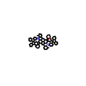 Cc1cccc(C)c1N(c1cccc(C2(c3ccccc3)c3ccccc3-c3ccccc32)c1)c1cc(C2CCCCC2)c2ccc3c(N(c4cccc(C5(c6ccccc6)c6ccccc6-c6ccccc65)c4)c4c(C)cccc4C)cc(C4CCCCC4)c4ccc1c2c43